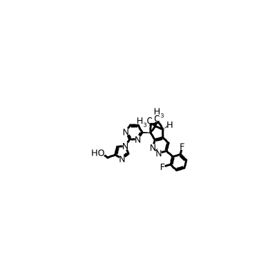 CC1(C)[C@H]2CC[C@@]1(c1ccnc(-n3cnc(CO)c3)n1)c1nnc(-c3c(F)cccc3F)cc12